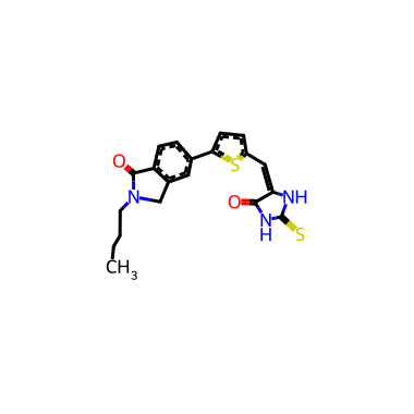 CCCCN1Cc2cc(-c3ccc(C=C4NC(=S)NC4=O)s3)ccc2C1=O